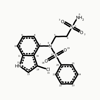 NS(=O)(=O)CCN(c1cccc2[nH]cc(Cl)c12)S(=O)(=O)c1ccccc1